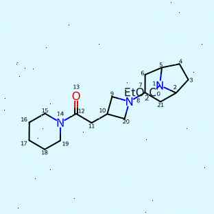 CCOC(=O)N1C2CCC1CC(N1CC(CC(=O)N3CCCCC3)C1)C2